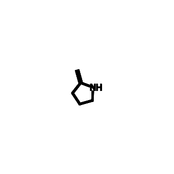 C=C1CCCN1